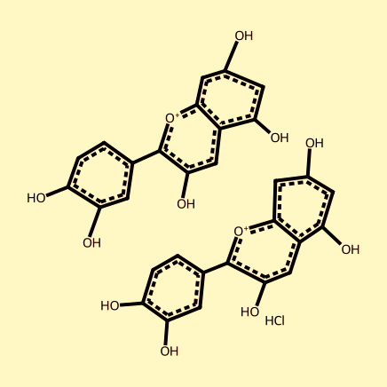 Cl.Oc1cc(O)c2cc(O)c(-c3ccc(O)c(O)c3)[o+]c2c1.Oc1cc(O)c2cc(O)c(-c3ccc(O)c(O)c3)[o+]c2c1